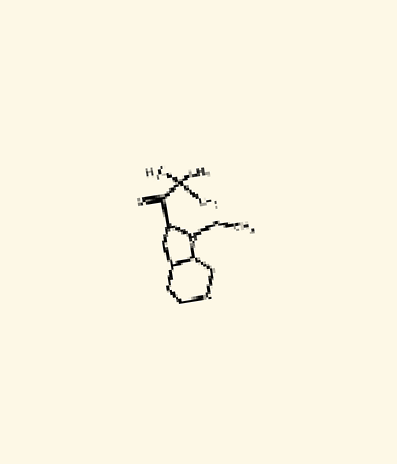 CCN1C(C(=O)C(C)(C)C)CC2CCSCC21